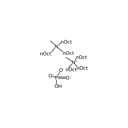 CCCCCCCC[N+](C)(CCCCCCCC)CCCCCCCC.CCCCCCCC[N+](C)(CCCCCCCC)CCCCCCCC.O=P([O-])([O-])O